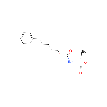 CC(C)(C)[C@H]1OC(=O)[C@@H]1NC(=O)OCCCCCc1ccccc1